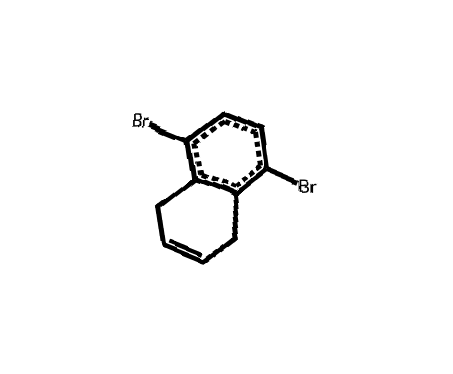 Brc1ccc(Br)c2c1CC=CC2